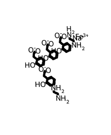 NCCN.NCCN.O=C([O-])Cc1ccccc1O.O=C([O-])Cc1ccccc1O.O=C([O-])Cc1ccccc1O.O=C([O-])Cc1ccccc1O.[Fe+3].[Na+]